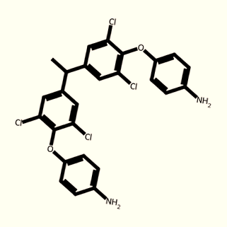 CC(c1cc(Cl)c(Oc2ccc(N)cc2)c(Cl)c1)c1cc(Cl)c(Oc2ccc(N)cc2)c(Cl)c1